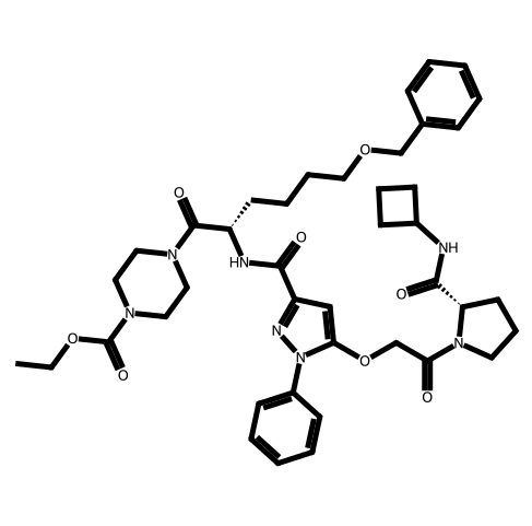 CCOC(=O)N1CCN(C(=O)[C@H](CCCCOCc2ccccc2)NC(=O)c2cc(OCC(=O)N3CCC[C@H]3C(=O)NC3CCC3)n(-c3ccccc3)n2)CC1